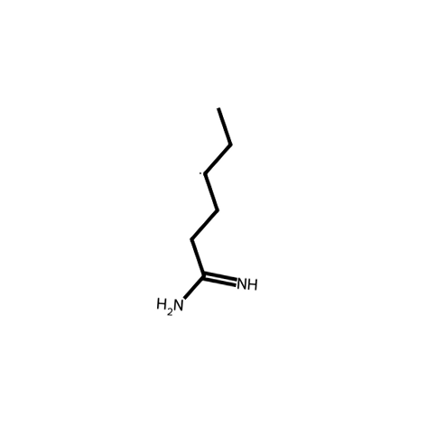 CC[CH]CCC(=N)N